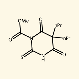 CCCC1(CCC)C(=O)NC(=S)N(C(=O)OC)C1=O